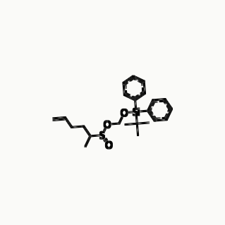 C=CCCC(C)S(=O)OCO[Si](c1ccccc1)(c1ccccc1)C(C)(C)C